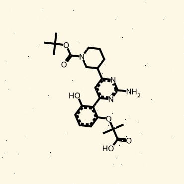 CC(C)(C)OC(=O)N1CCCC(c2cc(-c3c(O)cccc3OC(C)(C)C(=O)O)nc(N)n2)C1